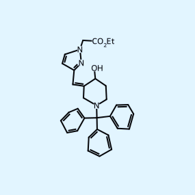 CCOC(=O)Cn1ccc(C=C2CN(C(c3ccccc3)(c3ccccc3)c3ccccc3)CCC2O)n1